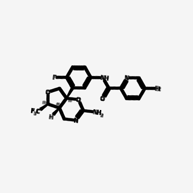 CCc1ccc(C(=O)Nc2ccc(F)c([C@]34CO[C@H](C(F)(F)F)[C@H]3CN=C(N)O4)c2)nc1